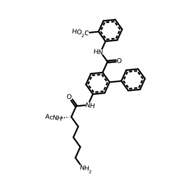 CC(=O)N[C@@H](CCCCN)C(=O)Nc1ccc(C(=O)Nc2ccccc2C(=O)O)c(-c2ccccc2)c1